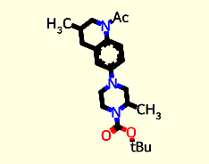 CC(=O)N1CC(C)Cc2cc(N3CCN(C(=O)OC(C)(C)C)C(C)C3)ccc21